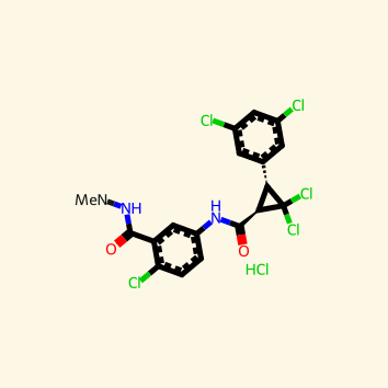 CNNC(=O)c1cc(NC(=O)[C@H]2[C@H](c3cc(Cl)cc(Cl)c3)C2(Cl)Cl)ccc1Cl.Cl